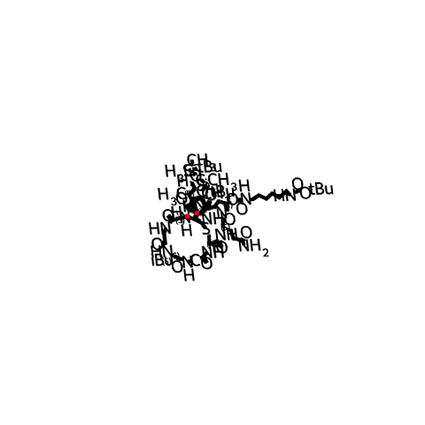 CC[C@H](C)[C@@H]1NC(=O)CNC(=O)[C@@H]2Cc3c([nH]c4cc(C)ccc34)SC[C@H](NC(=O)CNC1=O)C(=O)N[C@@H](CCC(N)=O)C(=O)N1C[C@H](OC(=O)NCCCCCCNC(=O)OC(C)(C)C)CC1C(=O)N[C@@H]([C@@H](C)C(CO[Si](C)(C)C(C)(C)C)O[Si](C)(C)C(C)(C)C)C(=O)N2